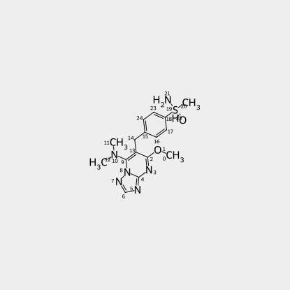 COc1nc2ncnn2c(N(C)C)c1Cc1ccc([SH](C)(N)=O)cc1